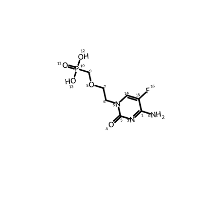 Nc1nc(=O)n(CCOCP(=O)(O)O)cc1F